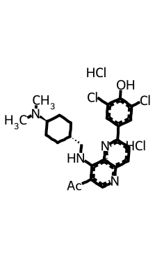 CC(=O)c1cnc2ccc(-c3cc(Cl)c(O)c(Cl)c3)nc2c1NC[C@H]1CC[C@H](N(C)C)CC1.Cl.Cl